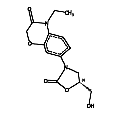 CCN1C(=O)COc2cc(N3C[C@H](CO)OC3=O)ccc21